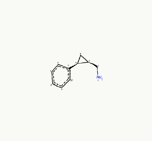 NC[C@@H]1C[C@@H]1c1ccccc1